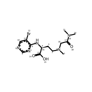 CN(CC[C@H](Nc1ncncc1Br)C(=O)O)CC(=O)N(C)C